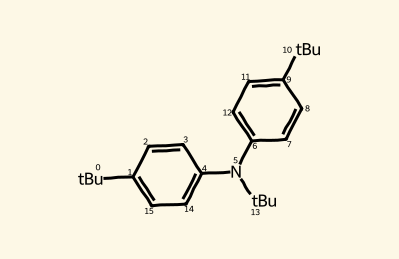 CC(C)(C)c1ccc(N(c2ccc(C(C)(C)C)cc2)C(C)(C)C)cc1